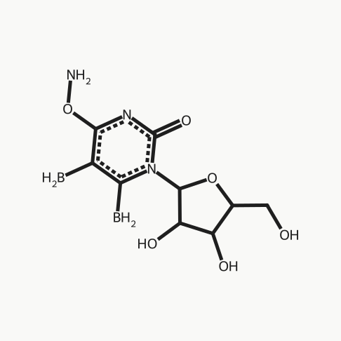 Bc1c(ON)nc(=O)n(C2OC(CO)C(O)C2O)c1B